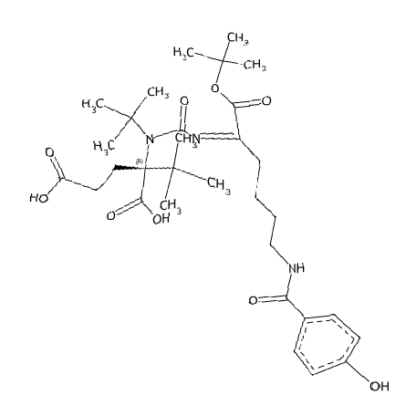 CC(C)(C)OC(=O)C(CCCCNC(=O)c1ccc(O)cc1)=NC(=O)N(C(C)(C)C)[C@@](CCC(=O)O)(C(=O)O)C(C)(C)C